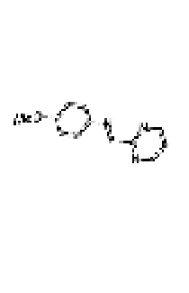 COc1ccc(/N=C/c2ncccn2)cc1